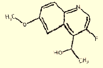 COc1ccc2ncc(F)c(C(C)O)c2c1